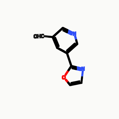 O=Cc1cncc(-c2ncco2)c1